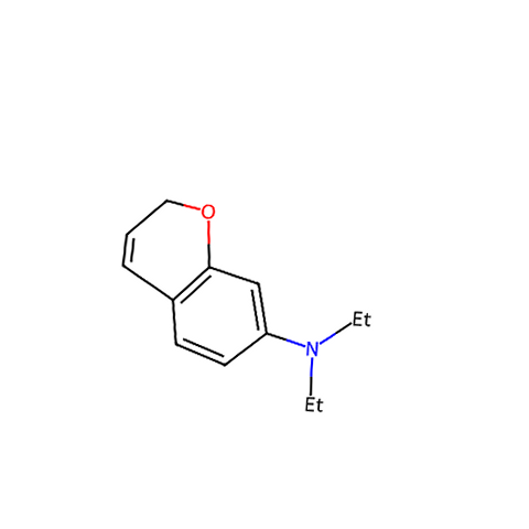 CCN(CC)c1ccc2c(c1)OCC=C2